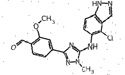 COc1cc(-c2nc(Nc3ccc4[nH]ncc4c3Cl)n(C)n2)ccc1C=O